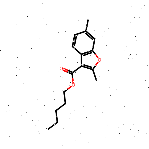 CCCCCOC(=O)c1c(C)oc2cc(C)ccc12